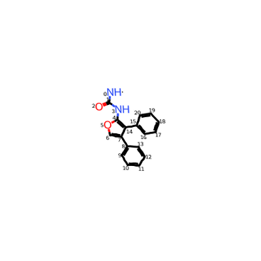 [NH]C(=O)Nc1occ(-c2ccccc2)c1-c1ccccc1